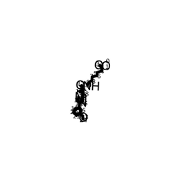 COC(=O)CCCCCCNC(=O)c1cn2cc(-c3cccc(OC)c3)nc2s1